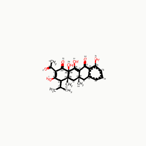 CC(=O)C1=C(O)C(C(C)C)[C@@]2(C)C[C@@]3(C)Cc4cccc(O)c4C(=O)C3=C(O)[C@@]2(O)C1=O